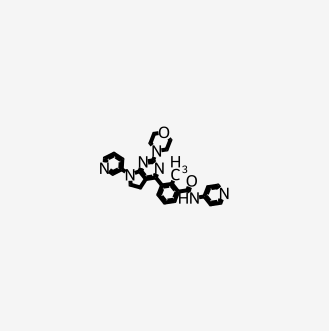 Cc1c(C(=O)Nc2ccncc2)cccc1-c1nc(N2CCOCC2)nc2c1CCN2c1cccnc1